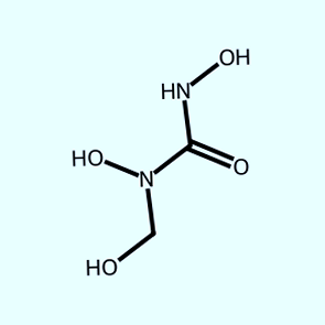 O=C(NO)N(O)CO